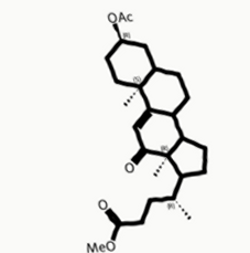 COC(=O)CC[C@@H](C)C1CCC2C3CCC4C[C@H](OC(C)=O)CC[C@]4(C)C3=CC(=O)[C@@]21C